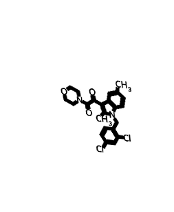 Cc1ccc2c(c1)c(C(=O)C(=O)N1CCOCC1)c(C)n2Cc1ccc(Cl)cc1Cl